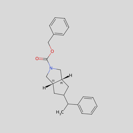 CC(c1ccccc1)C1C[C@@H]2CN(C(=O)OCc3ccccc3)C[C@@H]2C1